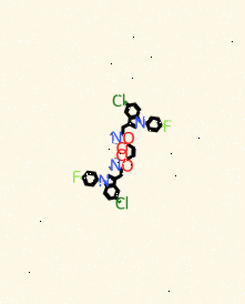 CN(C)C(Cc1cn(-c2ccc(F)cc2)c2ccc(Cl)cc12)OC(=O)/C=C\C(=O)OC(Cc1cn(-c2ccc(F)cc2)c2ccc(Cl)cc12)N(C)C